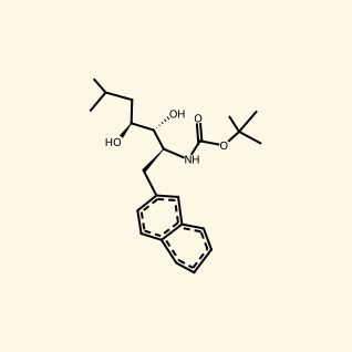 CC(C)C[C@H](O)[C@H](O)[C@H](Cc1ccc2ccccc2c1)NC(=O)OC(C)(C)C